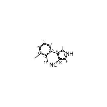 Cc1cccc(-c2c[nH]cc2C#N)c1C